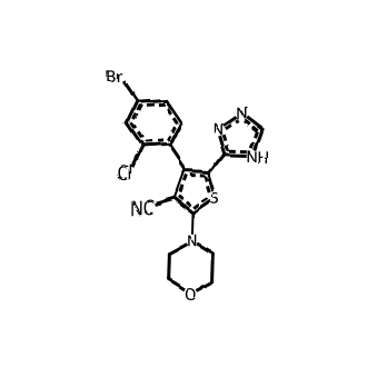 N#Cc1c(N2CCOCC2)sc(-c2nnc[nH]2)c1-c1ccc(Br)cc1Cl